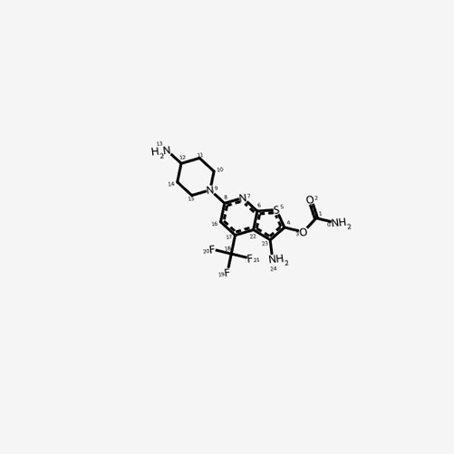 NC(=O)Oc1sc2nc(N3CCC(N)CC3)cc(C(F)(F)F)c2c1N